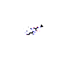 C/C(=C\c1cnn2c(O)c(C(=O)NC3CC3)c(=O)n(CC(C)C)c12)C(=O)N(C)CC#N